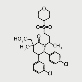 CC(CCS(=O)(=O)C1CCOCC1)N1C(=O)C(C)(CC(=O)O)CC(c2cccc(Cl)c2)C1c1ccc(Cl)cc1